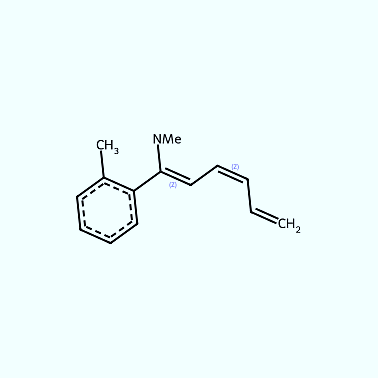 C=C/C=C\C=C(/NC)c1ccccc1C